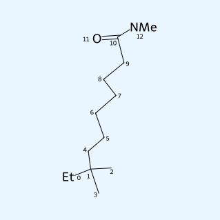 CCC(C)(C)CCCCCCC(=O)NC